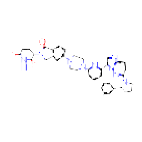 O=C1CCC(N2Cc3cc(N4CCN(c5cccc(-c6cnc7ccc(N8CCCC8c8cccc(F)c8)nn67)n5)CC4)ccc3C2=O)C(=O)N1